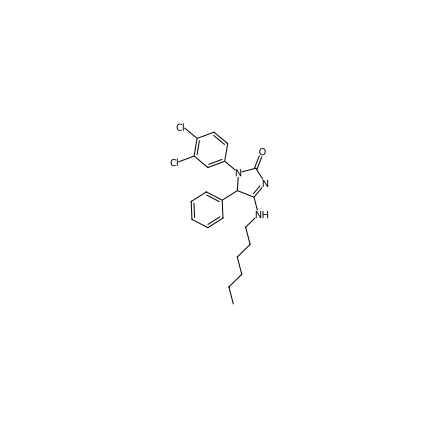 CCCCCCNC1=NC(=O)N(c2ccc(Cl)c(Cl)c2)C1c1ccccc1